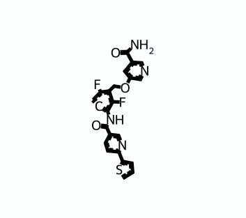 NC(=O)c1cncc(OCc2c(F)ccc(NC(=O)c3ccc(-c4cccs4)nc3)c2F)c1